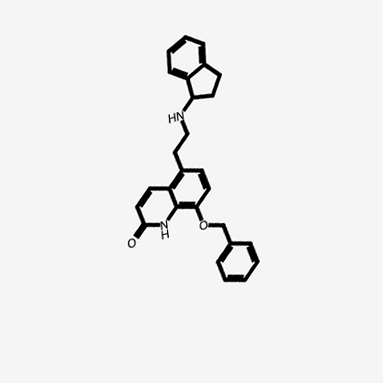 O=c1ccc2c(CCNC3CCc4ccccc43)ccc(OCc3ccccc3)c2[nH]1